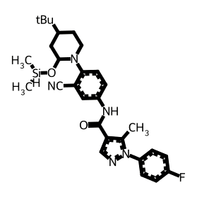 Cc1c(C(=O)Nc2ccc(N3CCC(C(C)(C)C)CC3O[SiH](C)C)c(C#N)c2)cnn1-c1ccc(F)cc1